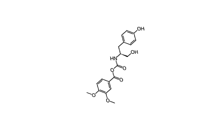 COc1ccc(C(=O)OC(=O)N[C@H](CO)Cc2ccc(O)cc2)cc1OC